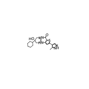 Cc1[nH]ncc1-c1cc2c(s1)C(=O)N[C@]1(CC[C@](O)(C3CCCCC3)CC1)N2